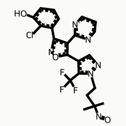 CC(C)(CCn1ncc(-c2onc(-c3cccc(O)c3Cl)c2-c2ncccn2)c1C(F)(F)F)N=O